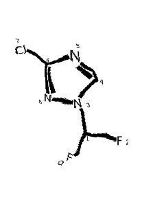 FC(F)n1cnc(Cl)n1